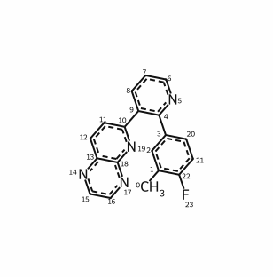 Cc1cc(-c2ncccc2-c2ccc3nccnc3n2)ccc1F